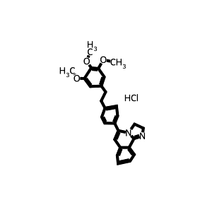 COc1cc(CCc2ccc(C3=Cc4ccccc4C4=NCCN34)cc2)cc(OC)c1OC.Cl